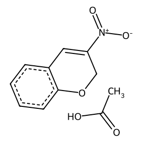 CC(=O)O.O=[N+]([O-])C1=Cc2ccccc2OC1